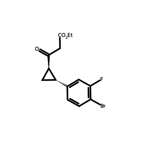 CCOC(=O)CC(=O)[C@@H]1C[C@H]1c1ccc(Br)c(F)c1